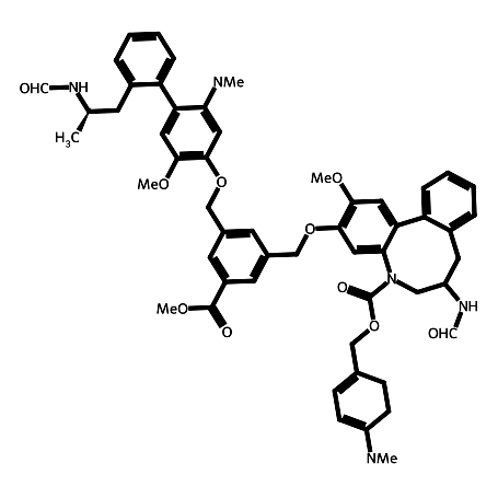 CNC1=CC=C(COC(=O)N2CC(NC=O)Cc3ccccc3-c3cc(OC)c(OCc4cc(COc5cc(NC)c(-c6ccccc6C[C@@H](C)NC=O)cc5OC)cc(C(=O)OC)c4)cc32)CC1